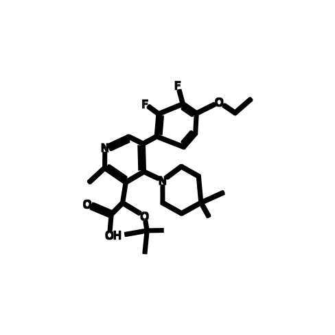 CCOc1ccc(-c2cnc(C)c(C(OC(C)(C)C)C(=O)O)c2N2CCC(C)(C)CC2)c(F)c1F